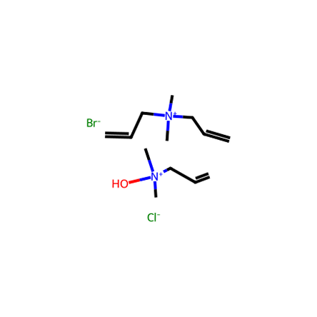 C=CC[N+](C)(C)CC=C.C=CC[N+](C)(C)O.[Br-].[Cl-]